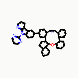 C1=C\c2ccc(-c3ccc4c(c3)c3cccnc3n4-c3ncccn3)cc2-c2ccc3ccccc3c2Oc2ccccc2-c2ccccc2/1